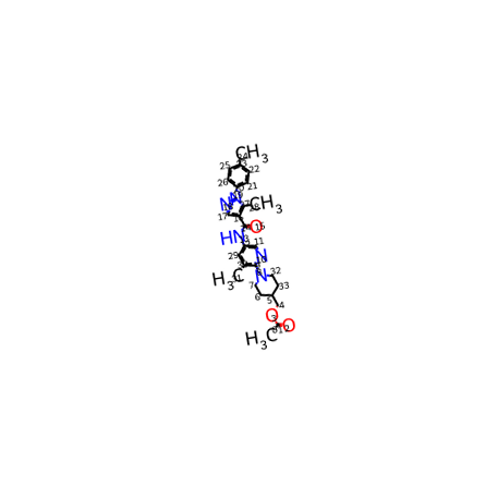 CC(=O)OCC1CCN(c2ncc(NC(=O)c3cnn(-c4ccc(C)cc4)c3C)cc2C)CC1